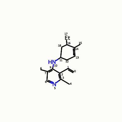 C=Cc1c(C)ncc(C)c1NC1CC=C(C)C(CC)C1